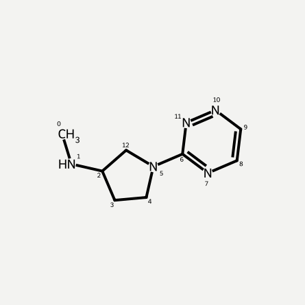 CNC1CCN(c2nccnn2)C1